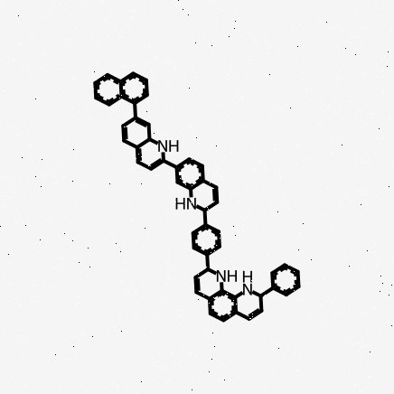 C1=CC2=CC=C(c3ccc4c(c3)NC(c3ccc(C5C=Cc6ccc7c(c6N5)NC(c5ccccc5)C=C7)cc3)C=C4)NC2C=C1c1cccc2ccccc12